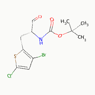 CC(C)(C)OC(=O)N[C@@H](C=O)Cc1sc(Cl)cc1Br